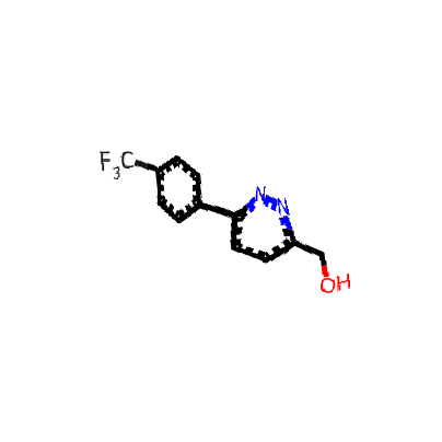 OCc1ccc(-c2ccc(C(F)(F)F)cc2)nn1